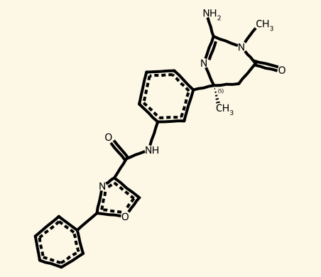 CN1C(=O)C[C@@](C)(c2cccc(NC(=O)c3coc(-c4ccccc4)n3)c2)N=C1N